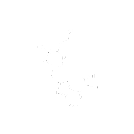 CCN(C(=O)O)c1nccc2nn(Cc3cnc(OCC(F)(F)F)c(C)c3)cc12